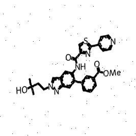 COC(=O)c1cccc(-c2cc3nn(CCC(C)(C)O)cc3cc2NC(=O)c2csc(-c3ccncc3)n2)c1